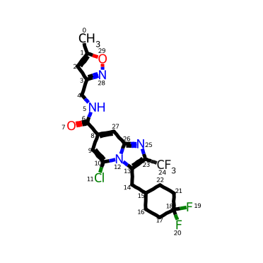 Cc1cc(CNC(=O)c2cc(Cl)n3c(CC4CCC(F)(F)CC4)c(C(F)(F)F)nc3c2)no1